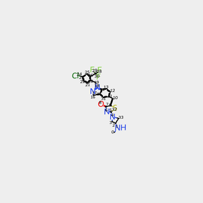 CNC1CN(C2=NC(=O)C(=Cc3ccc4c(cnn4Cc4ccc(Cl)cc4C(F)(F)F)c3)S2)C1